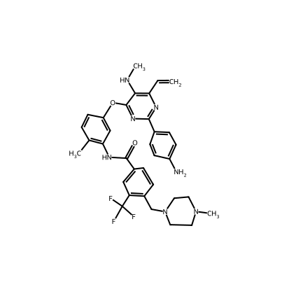 C=Cc1nc(-c2ccc(N)cc2)nc(Oc2ccc(C)c(NC(=O)c3ccc(CN4CCN(C)CC4)c(C(F)(F)F)c3)c2)c1NC